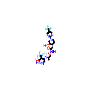 CC(CONC(=O)C[C@H]1CCN(c2ncc(C(F)(F)F)cn2)C[C@@H]1O)Nc1cn[nH]c(=O)c1C(F)(F)F